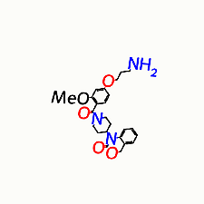 COc1cc(OCCCN)ccc1C(=O)N1CCC(N2C(=O)OCc3ccccc32)CC1